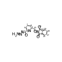 NN=NC(=O)c1cccc(CON2C(=O)c3ccccc3C2=O)n1